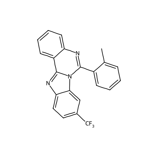 Cc1ccccc1-c1nc2ccccc2c2nc3ccc(C(F)(F)F)cc3n12